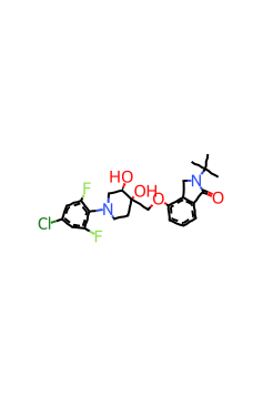 CC(C)(C)N1Cc2c(OC[C@]3(O)CCN(c4c(F)cc(Cl)cc4F)C[C@H]3O)cccc2C1=O